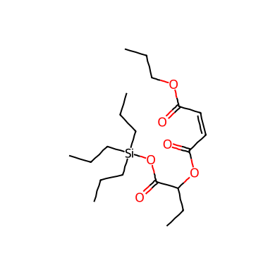 CCCOC(=O)/C=C\C(=O)OC(CC)C(=O)O[Si](CCC)(CCC)CCC